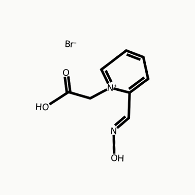 O=C(O)C[n+]1ccccc1C=NO.[Br-]